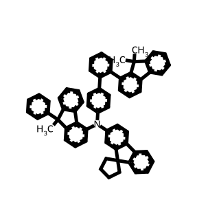 CC1(C)c2ccccc2-c2cccc(-c3ccccc3-c3ccc(N(c4ccc5c(c4)C4(CCCC4)c4ccccc4-5)c4cccc5c4-c4ccccc4C5(C)c4ccccc4)cc3)c21